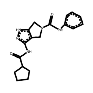 O=C(Nc1n[nH]c2c1CN(C(=O)Nc1ccccc1)C2)C1CCCC1